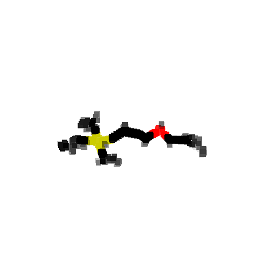 CCOCCS(C)(C)C